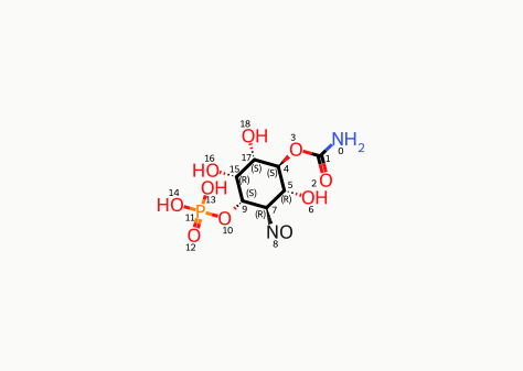 NC(=O)O[C@H]1[C@H](O)[C@@H](N=O)[C@H](OP(=O)(O)O)[C@H](O)[C@@H]1O